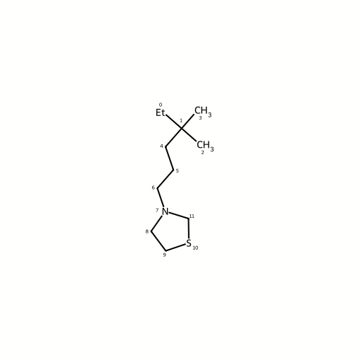 CCC(C)(C)CCCN1CCSC1